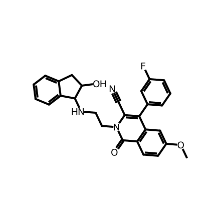 COc1ccc2c(=O)n(CCNC3c4ccccc4CC3O)c(C#N)c(-c3cccc(F)c3)c2c1